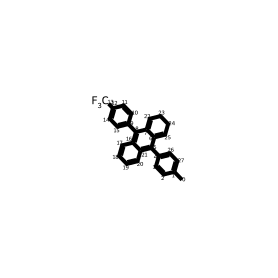 Cc1ccc(-c2c3c(c(-c4ccc(C(F)(F)F)cc4)c4ccccc24)=CCCC=3)cc1